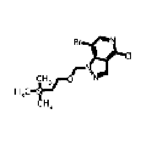 C[Si](C)(C)CCOCn1ncc2c(Cl)ncc(Br)c21